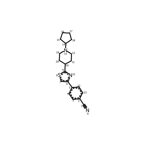 N#Cc1ccc(-c2csc(C3CCN(C4CCCC4)CC3)n2)cc1